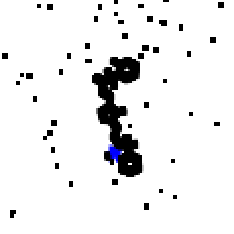 C=C(/C=C/C1=C(C)C(=C/C=C2/N(C)c3ccccc3C2(C)C)/CC1)C(C)(C)c1ccccc1C